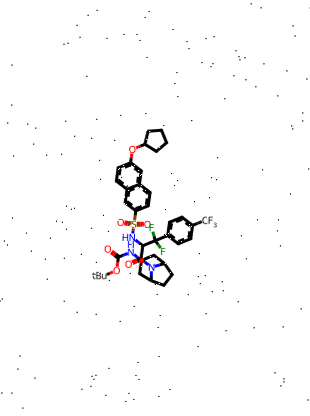 CC(C)(C)OC(=O)NC1CC2CCC(C1)N2C(=O)C(NS(=O)(=O)c1ccc2cc(OC3CCCC3)ccc2c1)C(F)(F)c1ccc(C(F)(F)F)cc1